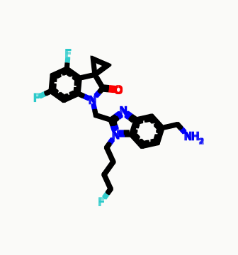 NCc1ccc2c(c1)nc(CN1C(=O)C3(CC3)c3c(F)cc(F)cc31)n2CCCCF